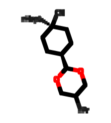 CCCCCCC[C@]1(C#N)CC[C@@H](C2OCC(CCC)CO2)CC1